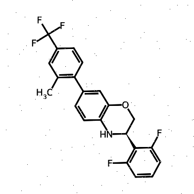 Cc1cc(C(F)(F)F)ccc1-c1ccc2c(c1)OC[C@@H](c1c(F)cccc1F)N2